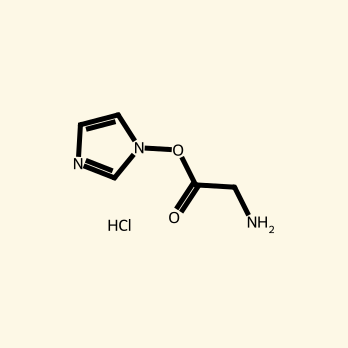 Cl.NCC(=O)On1ccnc1